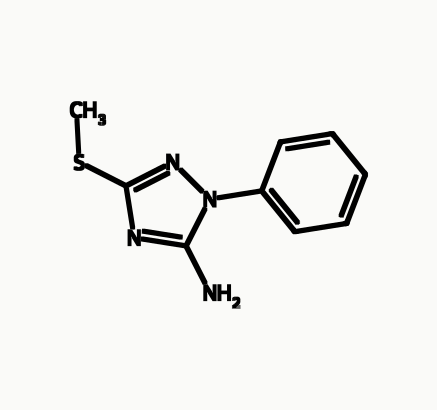 CSc1nc(N)n(-c2ccccc2)n1